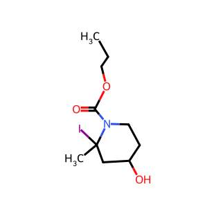 CCCOC(=O)N1CCC(O)CC1(C)I